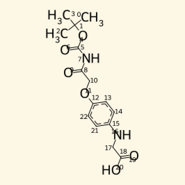 CC(C)(C)OC(=O)NC(=O)COc1ccc(NCC(=O)O)cc1